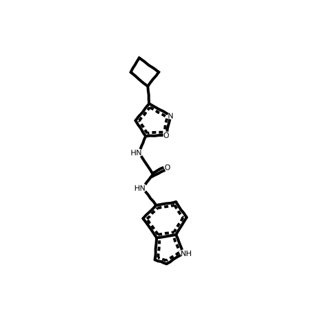 O=C(Nc1ccc2[nH]ccc2c1)Nc1cc(C2CCC2)no1